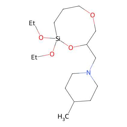 CCO[Si]1(OCC)CCCOCC(CN2CCC(C)CC2)O1